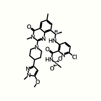 COc1cc(C2CCN(c3nc4c([C@@H](C)Nc5ccc(Cl)nc5C(=O)NS(C)(=O)=O)cc(C)cc4c(=O)n3C)CC2)nn1C